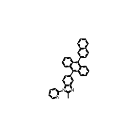 Cc1nc2cc(-c3c4ccccc4c(-c4ccc5ccccc5c4)c4ccccc34)ccc2n1-c1ccccn1